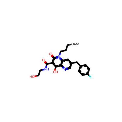 COCCCn1c(=O)c(C(=O)NCCO)c(O)c2ncc(Cc3ccc(F)cc3)cc21